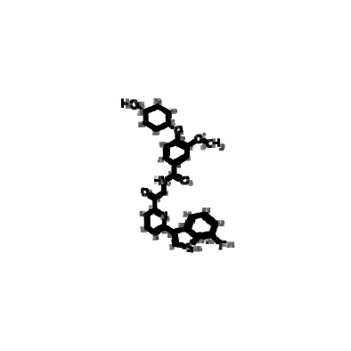 COc1cc(C(=O)NCC(=O)c2cccc(-c3csc4c(F)cccc34)n2)ccc1O[C@H]1CC[C@@H](O)CC1